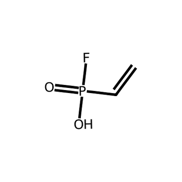 C=CP(=O)(O)F